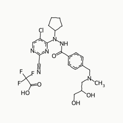 CN(Cc1ccc(C(=O)NN(c2nc(C#N)ncc2Cl)C2CCCC2)cc1)CC(O)CO.O=C(O)C(F)(F)F